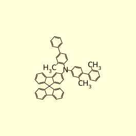 Cc1ccccc1-c1ccc(N(c2ccc3c(c2)-c2ccccc2C32c3ccccc3-c3ccccc32)c2ccc(-c3ccccc3)cc2C)cc1C